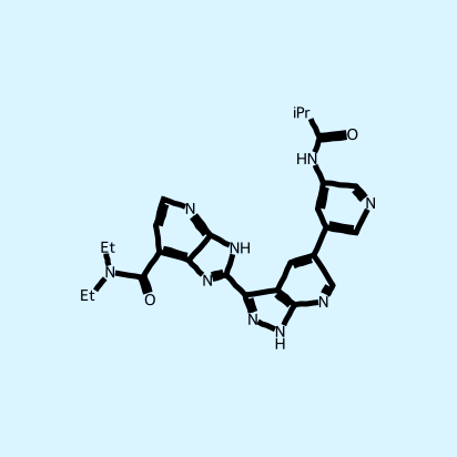 CCN(CC)C(=O)c1ccnc2[nH]c(-c3n[nH]c4ncc(-c5cncc(NC(=O)C(C)C)c5)cc34)nc12